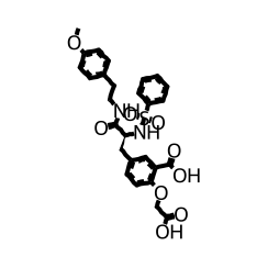 COc1ccc(CCNC(=O)[C@H](Cc2ccc(OCC(=O)O)c(C(=O)O)c2)NS(=O)(=O)c2ccccc2)cc1